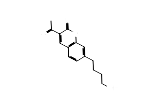 CC(=O)c1cc2ccc(CCCCO)cc2oc1=O